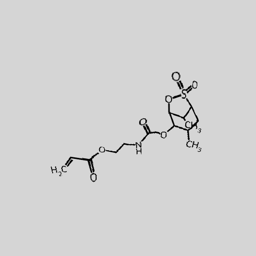 C=CC(=O)OCCNC(=O)OC1C(C)CC2C(C)C1OS2(=O)=O